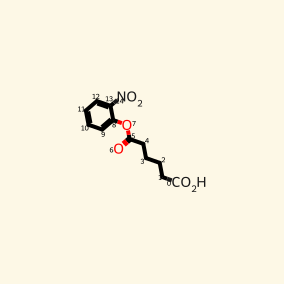 O=C(O)CCCCC(=O)Oc1ccccc1[N+](=O)[O-]